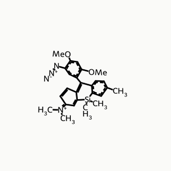 COc1cc(OC)c(C2=C3C=CC(=[N+](C)C)C=C3[Si](C)(C)c3cc(C)ccc32)cc1N=[N+]=[N-]